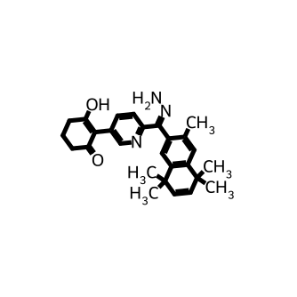 Cc1cc2c(cc1C(=NN)c1ccc(C3=C(O)CCCC3=O)cn1)C(C)(C)C=CC2(C)C